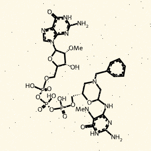 CNc1c(NC2CN(Cc3ccccc3)C[C@@H](COP(=O)(O)OP(=O)(O)OP(=O)(O)OCC3OC(n4cnc5c(=O)[nH]c(N)nc54)[C@H](OC)[C@@H]3O)O2)nc(N)[nH]c1=O